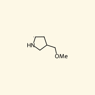 COCC1C[CH]NC1